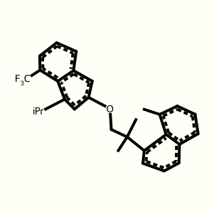 Cc1cccc2cccc(C(C)(C)COc3cc(C(C)C)c4c(C(F)(F)F)cccc4c3)c12